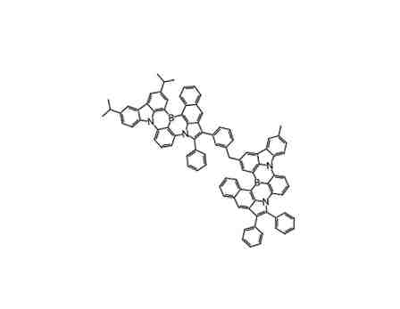 Cc1ccc2c(c1)c1cc(Cc3cccc(-c4c(-c5ccccc5)n5c6c(c7ccccc7cc46)B4c6c-5cccc6-n5c6ccc(C(C)C)cc6c6cc(C(C)C)cc4c65)c3)cc3c1n2-c1cccc2c1B3c1c3ccccc3cc3c(-c4ccccc4)c(-c4ccccc4)n-2c13